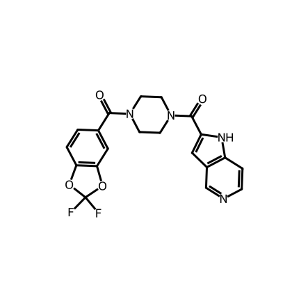 O=C(c1ccc2c(c1)OC(F)(F)O2)N1CCN(C(=O)c2cc3cnccc3[nH]2)CC1